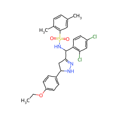 CCOc1ccc(C2CC(C(NS(=O)(=O)c3cc(C)ccc3C)c3ccc(Cl)cc3Cl)=NN2)cc1